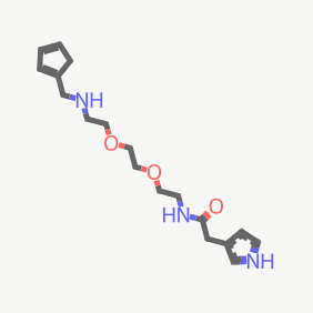 O=C(Cc1cc[nH]c1)NCCOCCOCCNCC1=CC=CC1